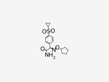 NC(=O)/C(=N/OC1CCCC1)c1ccc(S(=O)(=O)C2CC2)cc1